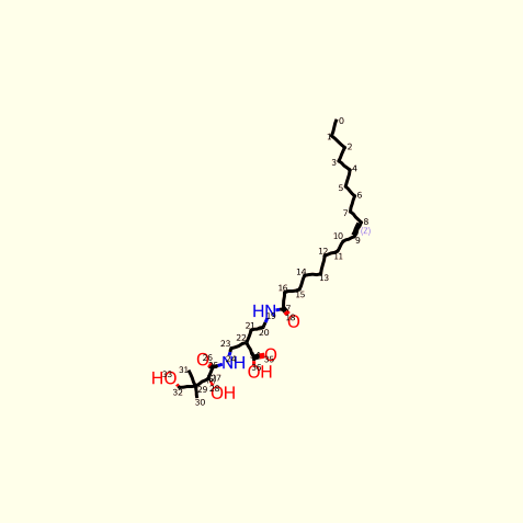 CCCCCCCC/C=C\CCCCCCCC(=O)NCCC(CNC(=O)[C@@H](O)C(C)(C)CO)C(=O)O